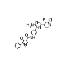 Cc1c(C(=O)Nc2ccc(-c3nc(-c4ccnc(Cl)c4F)cnc3N)cc2)c(=O)n(-c2ccccc2)n1C